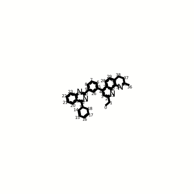 CCc1cc(-c2cccc(-c3nc(C4C=CC=CC4)c4ccccc4n3)c2)c2ccc3c(c2n1)N=C(C)CC3